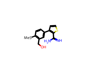 CSc1ccc(-c2ccsc2C(=N)N)cc1CO